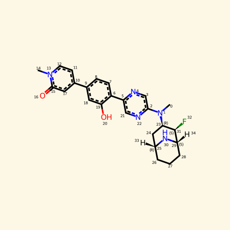 CN(c1cnc(-c2ccc(-c3ccn(C)c(=O)c3)cc2O)cn1)[C@@H]1C[C@H]2CCC[C@H](N2)[C@@H]1F